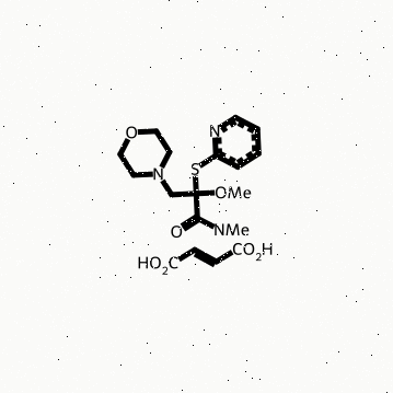 CNC(=O)C(CN1CCOCC1)(OC)Sc1ccccn1.O=C(O)C=CC(=O)O